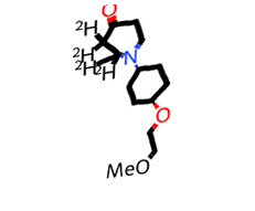 [2H]C1([2H])C(=O)CCN([C@H]2CC[C@H](OCCOC)CC2)C1([2H])[2H]